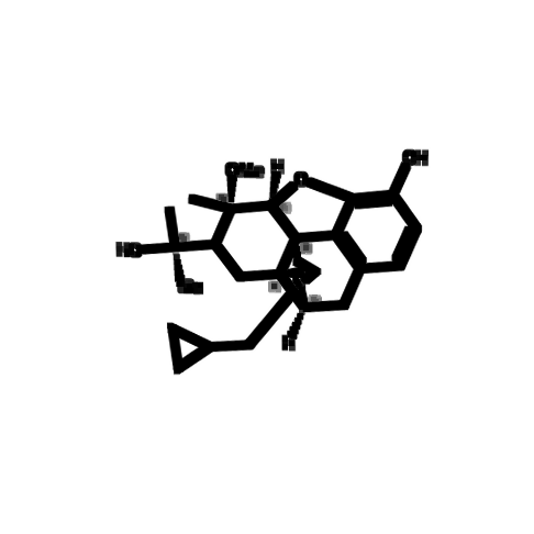 CO[C@@]1(C)C([C@](C)(O)C(C)(C)C)C[C@@]2(C)[C@@H]3Cc4ccc(O)c5c4[C@]2(CCN3CC2CC2)[C@@H]1O5